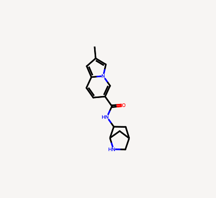 Cc1cc2ccc(C(=O)NC3CC4CNC3C4)cn2c1